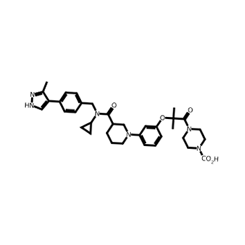 Cc1n[nH]cc1-c1ccc(CN(C(=O)C2CCCN(c3cccc(OC(C)(C)C(=O)N4CCN(C(=O)O)CC4)c3)C2)C2CC2)cc1